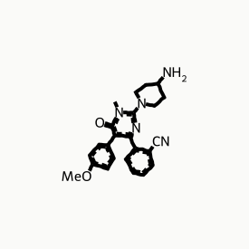 COc1ccc(-c2c(-c3ccccc3C#N)nc(N3CCC(N)CC3)n(C)c2=O)cc1